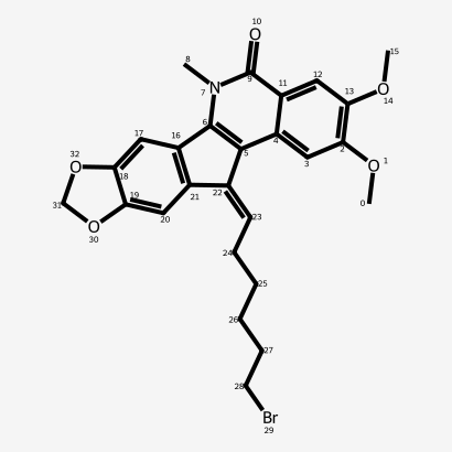 COc1cc2c3c(n(C)c(=O)c2cc1OC)-c1cc2c(cc1C3=CCCCCCBr)OCO2